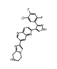 Fc1cc(F)c(-c2n[nH]cc2-c2ccc3ncc(-c4cn5c(n4)CNCC5)cc3n2)cc1Cl